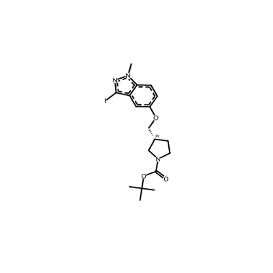 Cn1nc(I)c2cc(OC[C@@H]3CCN(C(=O)OC(C)(C)C)C3)ccc21